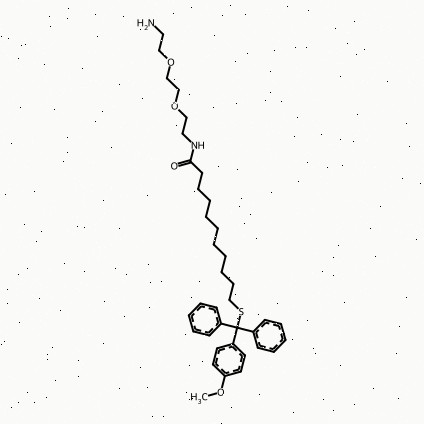 COc1ccc(C(SCCCCCCCCCCC(=O)NCCOCCOCCN)(c2ccccc2)c2ccccc2)cc1